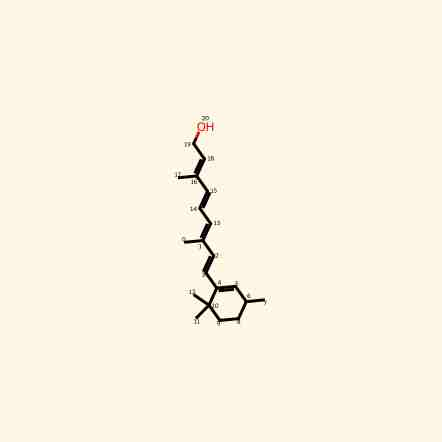 CC(/C=C/C1=CC(C)CCC1(C)C)=C\C=C\C(C)=C\CO